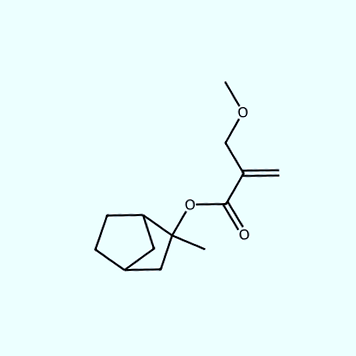 C=C(COC)C(=O)OC1(C)CC2CCC1C2